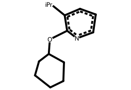 CC(C)c1cccnc1OC1CCCCC1